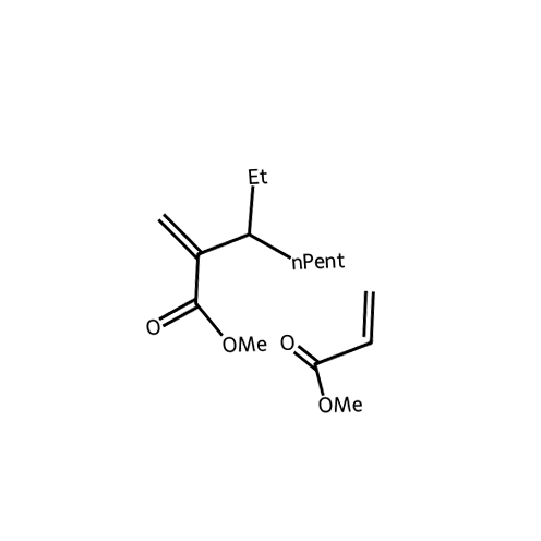 C=C(C(=O)OC)C(CC)CCCCC.C=CC(=O)OC